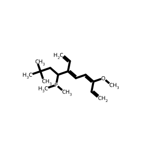 C=C/C(=C\C=C(/C=C)C(CC(C)(C)C)P(C)C)OC